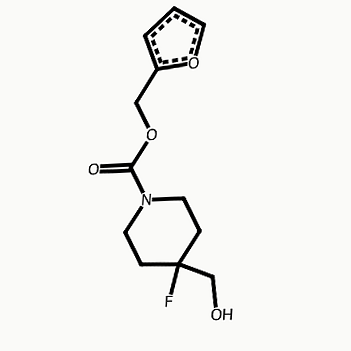 O=C(OCc1ccco1)N1CCC(F)(CO)CC1